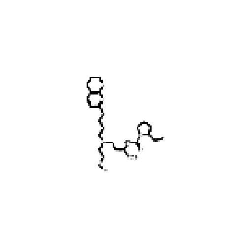 CCOCCN(CCCCc1ccc2c(n1)NCCC2)CCC(NC(=O)N1CCCC1CF)C(=O)O